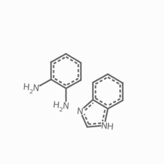 Nc1ccccc1N.c1ccc2[nH]cnc2c1